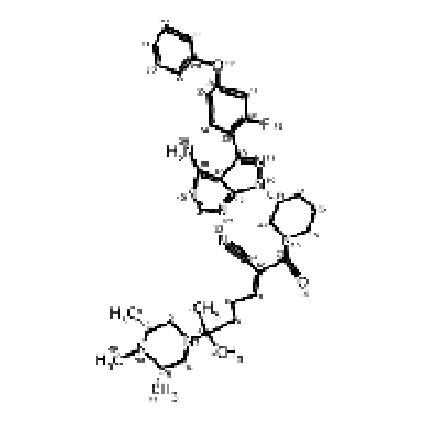 C[C@@H]1CN(C(C)(C)CC/C=C(\C#N)C(=O)N2CCC[C@@H](n3nc(-c4ccc(Oc5ccccc5)cc4F)c4c(N)ncnc43)C2)C[C@H](C)N1C